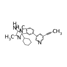 CC#Cc1cncc(-c2ccc(C)c(C3(C4CCCCC4)N=C(C)C(N)=N3)c2)c1